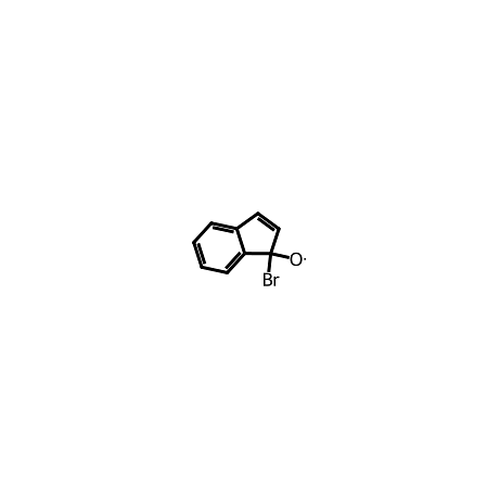 [O]C1(Br)C=Cc2ccccc21